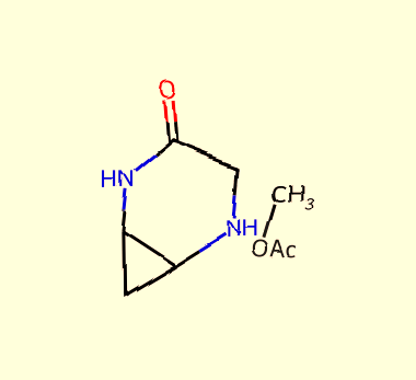 COC(C)=O.O=C1CNC2CC2N1